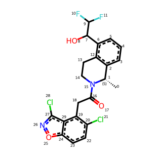 C[C@H]1c2cccc(C(O)C(F)F)c2CCN1C(=O)Cc1c(Cl)ccc2onc(Cl)c12